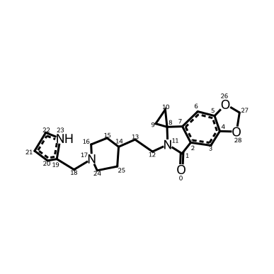 O=C1c2cc3c(cc2C2(CC2)N1CCC1CCN(Cc2ccc[nH]2)CC1)OCO3